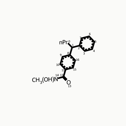 CCCC(c1ccccc1)c1ccc(C(=O)N(C)O)cc1